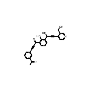 CC(=O)c1cccc(C#CC(=O)c2cccc(C(O)C#Cc3ccncc3CO)c2O)c1